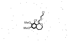 COc1cc2c(c(C(F)(F)F)c1OC)C(COCCCl)OCCC2